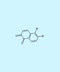 O=C1C=Cc2c(ccc(Br)c2Br)C1=O